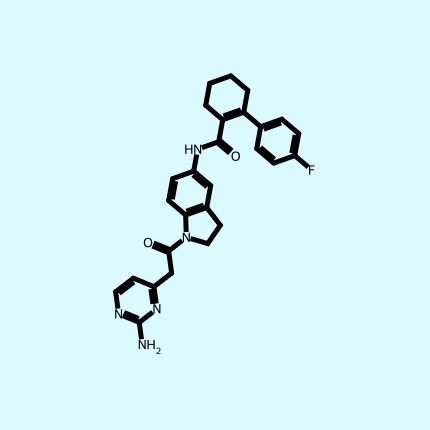 Nc1nccc(CC(=O)N2CCc3cc(NC(=O)C4=C(c5ccc(F)cc5)CCCC4)ccc32)n1